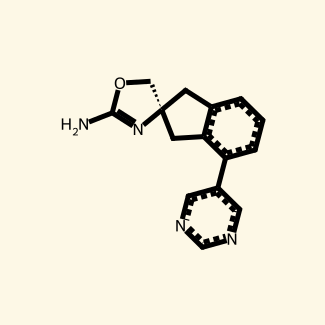 NC1=N[C@@]2(CO1)Cc1cccc(-c3cncnc3)c1C2